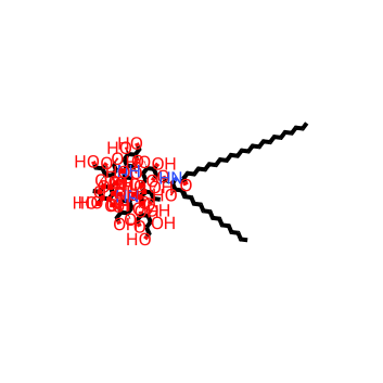 CCCCCCCCCCCCC/C=C/[C@@H](O)[C@H](CO[C@@H]1OC(CO)[C@@H](O[C@@H]2OC(CO)[C@H](O)[C@H](O[C@@H]3OC(CO)[C@@H](O[C@@H]4OC(CO)[C@H](O)[C@H](O[C@@H]5OC(CO)[C@@H](O[C@@H]6OC(CO)[C@H](O)[C@H](O)C6O)[C@H](O[C@H]6OC(C)[C@@H](O)C(O)[C@@H]6O)C5NC(C)=O)C4O)[C@H](O[C@H]4OC(C)[C@@H](O)C(O)[C@@H]4O)C3NC(C)=O)C2O)[C@H](O)C1O)NC(=O)CCCCCCCCCCCCCCCCCCCCCCC